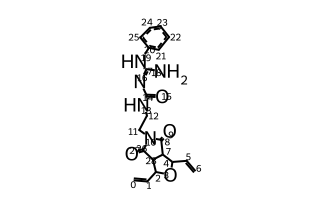 C=CC1OC(C=C)C2C(=O)N(CCNC(=O)/N=C(\N)Nc3ccccc3)C(=O)C12